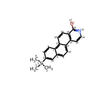 C[Si](C)(C)c1ccc2c(ccc3c4ccnc(Br)c4ccc23)c1